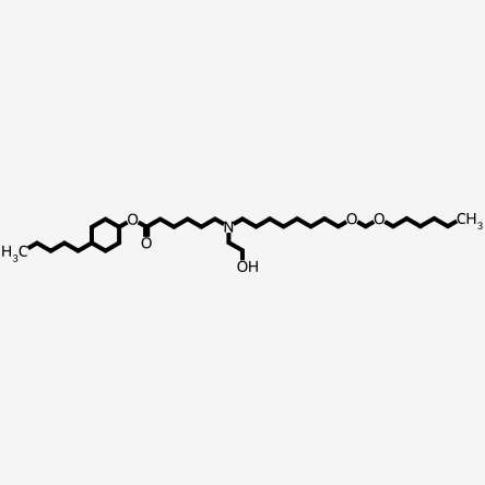 CCCCCCOCOCCCCCCCCN(CCO)CCCCCC(=O)OC1CCC(CCCCC)CC1